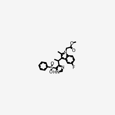 COC(=O)Cn1c(C)c(C(C)c2nc[nH]c2S(=O)(=O)c2ccccc2)c2cc(F)ccc21